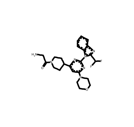 NCC(=O)N1CCC(c2cc(N3CCOCC3)nc(-n3c(C(F)F)nc4ccccc43)n2)CC1